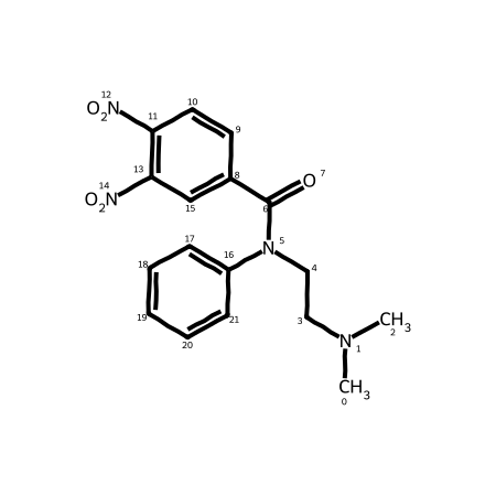 CN(C)CCN(C(=O)c1ccc([N+](=O)[O-])c([N+](=O)[O-])c1)c1ccccc1